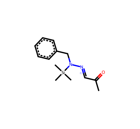 CC(=O)/C=N/N(Cc1ccccc1)[Si](C)(C)C